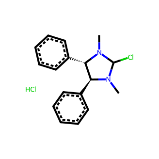 CN1C(Cl)N(C)[C@@H](c2ccccc2)[C@@H]1c1ccccc1.Cl